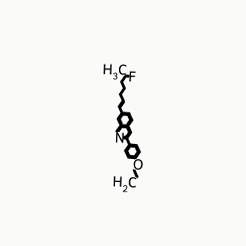 C=CCOc1ccc(-c2cc3ccc(/C=C/CCCC(C)F)cc3cn2)cc1